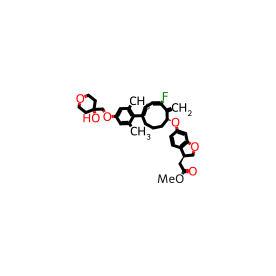 C=C1/C(F)=C\C=C(\c2c(C)cc(OCC3(O)CCOCC3)cc2C)CCC[C@H]1Oc1ccc2c(c1)OC[C@H]2CC(=O)OC